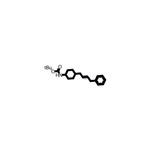 CC(C)(C)OC(=O)NC1CCC(C/C=C/Cc2ccccc2)CC1